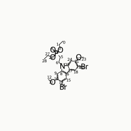 CCOP(=O)(CCn1c2cc(OC)c(Br)cc2c2cc(Br)c(OC)cc21)OCC